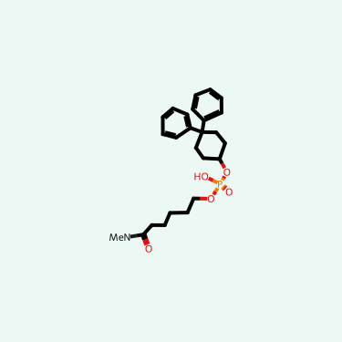 CNC(=O)CCCCCOP(=O)(O)OC1CCC(c2ccccc2)(c2ccccc2)CC1